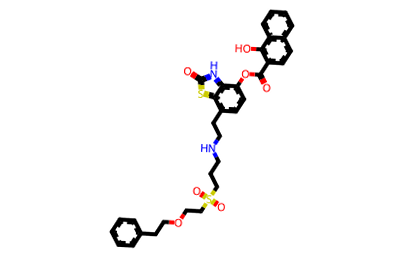 O=C(Oc1ccc(CCNCCCS(=O)(=O)CCOCCc2ccccc2)c2sc(=O)[nH]c12)c1ccc2ccccc2c1O